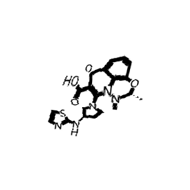 C[C@H]1Oc2cccc3c(=O)c(C(=O)O)c(N4CC[C@@H](Nc5nccs5)C4)n(c23)N1C